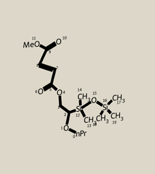 CCCOC(COC(=O)C=CC(=O)OC)[Si](C)(C)O[Si](C)(C)C